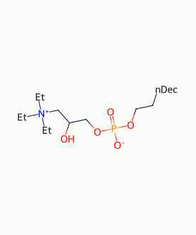 CCCCCCCCCCCCOP(=O)([O-])OCC(O)C[N+](CC)(CC)CC